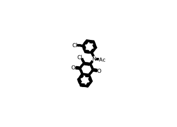 CC(=O)N(C1=C(Cl)C(=O)c2ccccc2C1=O)c1cccc(Cl)c1